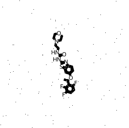 CC(Oc1ccc2nc(NC(=O)NCCN3CCOCC3)sc2c1)c1c(F)ccc(F)c1F